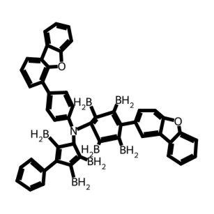 BC1=C(B)C(N(c2ccc(-c3cccc4c3oc3ccccc34)cc2)c2c(B)c(B)c(-c3ccc4oc5ccccc5c4c3)c(B)c2B)C(B)=C1c1ccccc1